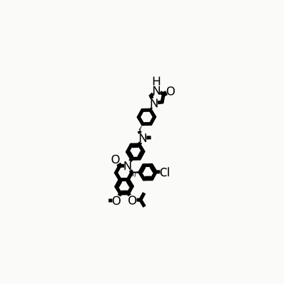 COc1cc2c(cc1OC(C)C)[C@H](c1ccc(Cl)cc1)N(c1ccc(N(C)C[C@H]3CC[C@H](N4CNC(=O)C4)CC3)cc1)C(=O)C2